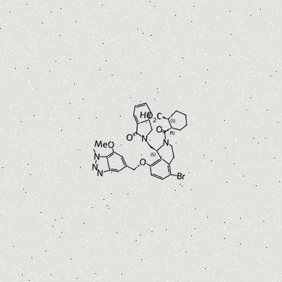 COc1cc(COc2ccc(Br)c3c2[C@@H](CN2Cc4ccccc4C2=O)N(C(=O)[C@@H]2CCCC[C@@H]2C(=O)O)CC3)cc2nnn(C)c12